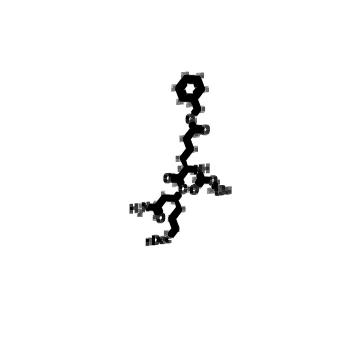 CCCCCCCCCCCCC[C@@H](CC(N)=O)OC(=O)[C@@H](CCCC(=O)OCc1ccccc1)NC(=O)OC(C)(C)C